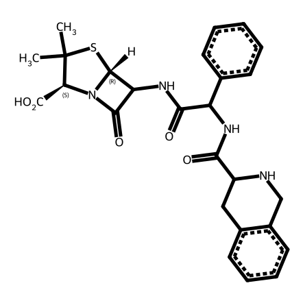 CC1(C)S[C@@H]2C(NC(=O)C(NC(=O)C3Cc4ccccc4CN3)c3ccccc3)C(=O)N2[C@H]1C(=O)O